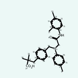 Cc1ccc(N(CC(=O)Nc2ccc(C)cc2C)Cc2ccc(CC(C)(C)C(=O)O)cc2)cc1